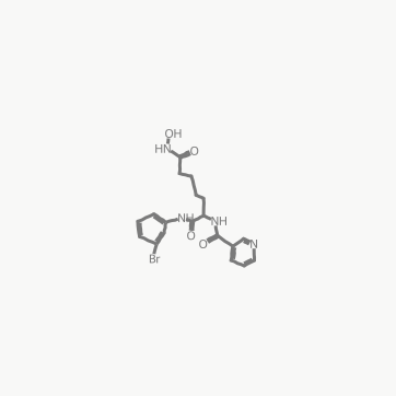 O=C(CCCCC(NC(=O)c1cccnc1)C(=O)Nc1cccc(Br)c1)NO